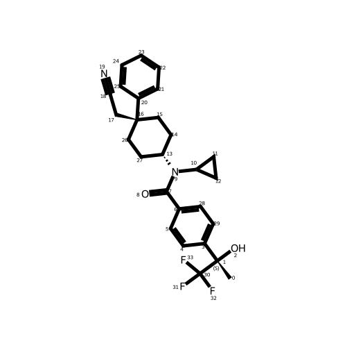 C[C@](O)(c1ccc(C(=O)N(C2CC2)[C@H]2CC[C@@](CC#N)(c3ccccc3)CC2)cc1)C(F)(F)F